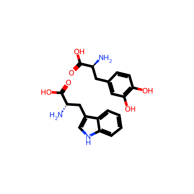 N[C@@H](Cc1c[nH]c2ccccc12)C(=O)O.N[C@@H](Cc1ccc(O)c(O)c1)C(=O)O